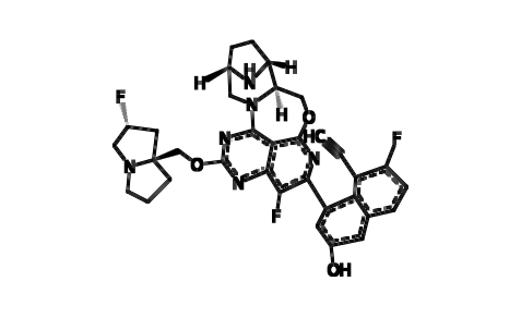 C#Cc1c(F)ccc2cc(O)cc(-c3nc4c5c(nc(OC[C@@]67CCCN6C[C@H](F)C7)nc5c3F)N3C[C@@H]5CC[C@@H](N5)[C@H]3CO4)c12